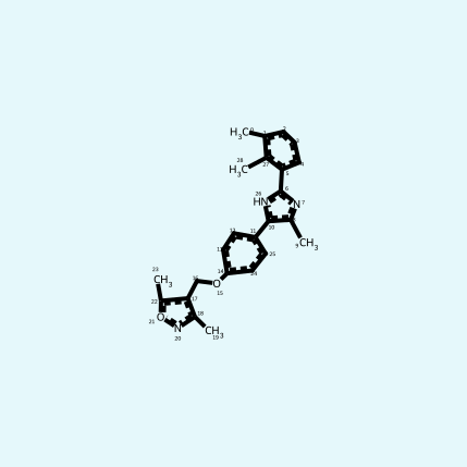 Cc1cccc(-c2nc(C)c(-c3ccc(OCc4c(C)noc4C)cc3)[nH]2)c1C